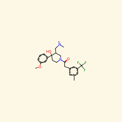 COc1cccc(C2(O)CCN(C(=O)Cc3cc(C)cc(C(F)(F)F)c3)CC2CN(C)C)c1